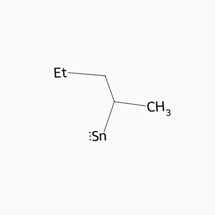 CCC[CH](C)[Sn]